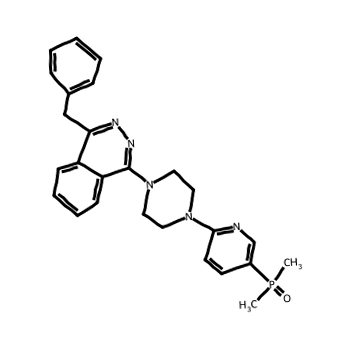 CP(C)(=O)c1ccc(N2CCN(c3nnc(Cc4ccccc4)c4ccccc34)CC2)nc1